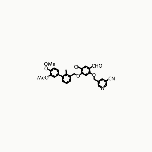 COOc1ccc(-c2cccc(COc3cc(OCc4cncc(C#N)c4)c(C=O)cc3Cl)c2C)cc1OC